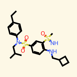 CCc1ccc(N(CC(C)C)S(=O)(=O)c2ccc(NCC3CCC3)c(S(C)(=N)=O)c2)cc1